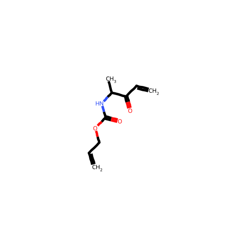 C=CCOC(=O)NC(C)C(=O)C=C